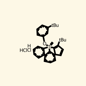 Cl.Cl.[CH2]=[Ti]([O]c1cccc(C(C)(C)C)c1)([C]1=C(C(C)(C)C)C=CC1)([c]1ccccc1)[c]1ccccc1